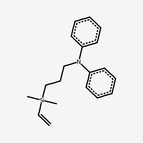 C=C[Si](C)(C)CCCN(c1ccccc1)c1ccccc1